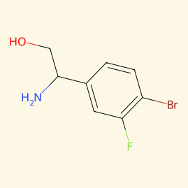 NC(CO)c1ccc(Br)c(F)c1